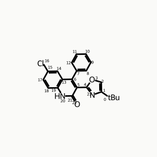 CC(C)(C)c1coc(-c2c(-c3ccccc3)c3cc(Cl)ccc3[nH]c2=O)n1